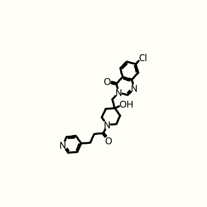 O=C(CCc1ccncc1)N1CCC(O)(Cn2cnc3cc(Cl)ccc3c2=O)CC1